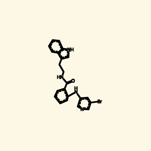 O=C(NCCc1c[nH]c2ccccc12)c1ccccc1Nc1cncc(Br)c1